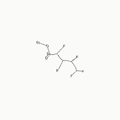 CC[O][Sn](=[O])[CH](F)C(F)C(F)C(F)F